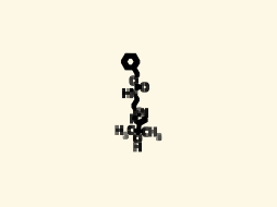 CC(C)(O)c1cnn(CCNC(=O)OCc2ccccc2)n1